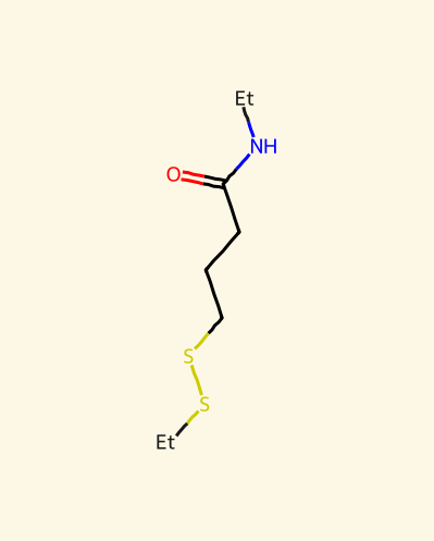 CCNC(=O)CCCSSCC